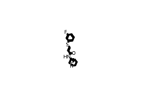 O=C(C=CSc1cccc(F)c1)NC1CN2CCC1CC2